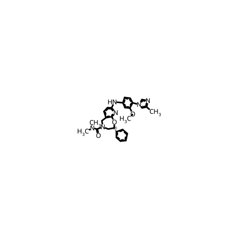 COc1cc(Nc2ccc3c(n2)O[C@H](c2ccccc2)CN(C(=O)N(C)C)C3)ccc1-n1cnc(C)c1